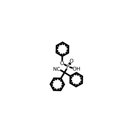 N#CC(c1ccccc1)(c1ccccc1)P(=O)(O)Oc1ccccc1